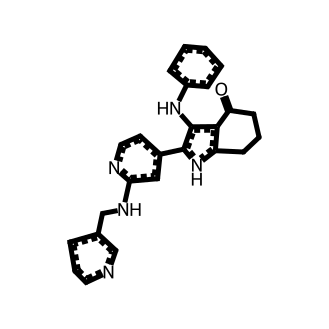 O=C1CCCc2[nH]c(-c3ccnc(NCc4cccnc4)c3)c(Nc3ccccc3)c21